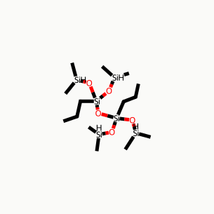 CCC[Si](O[SiH](C)C)(O[SiH](C)C)O[Si](CCC)(O[SiH](C)C)O[SiH](C)C